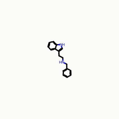 c1ccc(CNCCc2c[nH]c3ccccc23)cc1